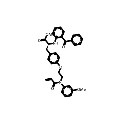 C=CC(=O)N(CCOc1ccc(C[C@H](Nc2ccccc2C(=O)c2ccccc2)C(=O)OC)cc1)c1cccc(OC)c1